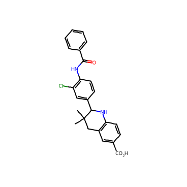 CC1(C)Cc2cc(C(=O)O)ccc2NC1c1ccc(NC(=O)c2ccccc2)c(Cl)c1